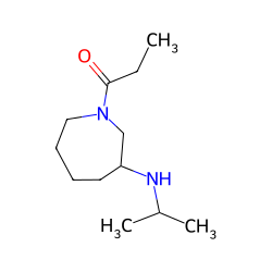 CCC(=O)N1CCCCC(NC(C)C)C1